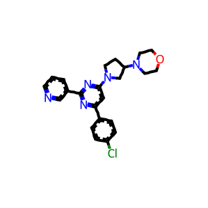 Clc1ccc(-c2cc(N3CCC(N4CCOCC4)C3)nc(-c3cccnc3)n2)cc1